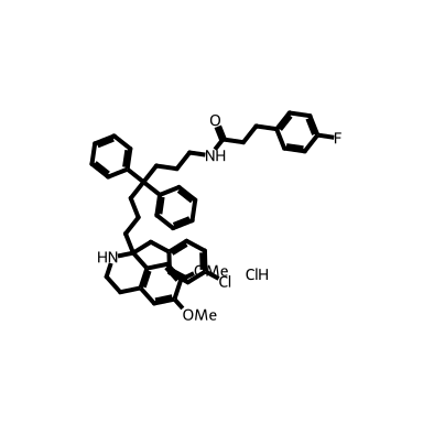 COc1cc2c(cc1OC)C(CCCC(CCCNC(=O)CCc1ccc(F)cc1)(c1ccccc1)c1ccccc1)(Cc1ccc(Cl)cc1)NCC2.Cl